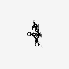 Fc1cnc(N2CCC(c3nnc4n3-c3ccc(Cl)cc3CN(C35CC(C(F)(F)F)(C3)C5)C4)CC2)c(F)c1